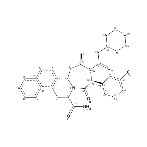 C[C@@H]1CCN(C(Cc2cccc3ccccc23)C(N)=O)C(=O)[C@H](c2cccc(Cl)c2)N1C(=O)CN1CCOCC1